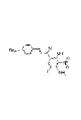 N#Cc1ccc(C=CC(=O)c2cc(F)c(N)c([N+](=O)[O-])c2O)cc1